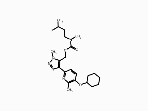 Cc1nc(-c2nnn(C)c2COC(=O)N(C)CCC(C)F)ccc1OC1CCCCC1